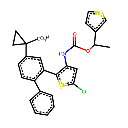 CC(OC(=O)Nc1cc(Cl)sc1-c1cc(C2(C(=O)O)CC2)ccc1-c1ccccc1)c1ccsc1